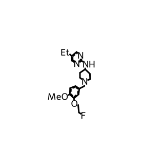 CCc1cnc(NC2CCN(Cc3ccc(OC)c(OCCF)c3)CC2)nc1